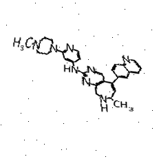 C[C@@H]1C=C(c2ccc3ncccc3c2)c2cnc(Nc3ccnc(N4CCN(C)CC4)c3)nc2CN1